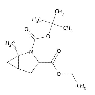 CCOC(=O)C1CC2C[C@@]2(C)N1C(=O)OC(C)(C)C